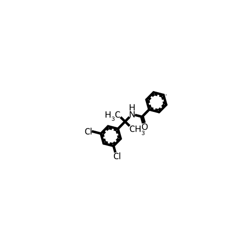 CC(C)(NC(=O)c1cc[c]cc1)c1cc(Cl)cc(Cl)c1